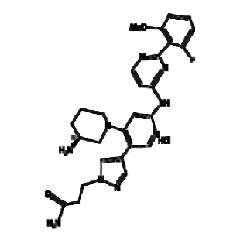 COc1cccc(F)c1-c1nccc(Nc2cc(N3CCC[C@H](N)C3)c(-c3cnn(CCC(N)=O)c3)cn2)n1.Cl